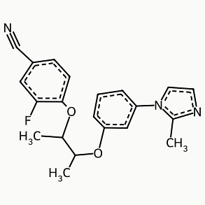 Cc1nccn1-c1cccc(OC(C)C(C)Oc2ccc(C#N)cc2F)c1